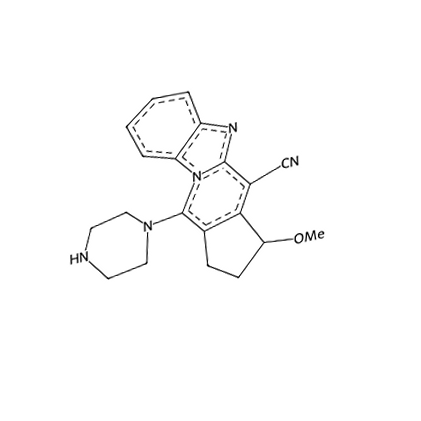 COC1CCc2c1c(C#N)c1nc3ccccc3n1c2N1CCNCC1